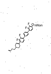 C=CCCC1CC=C(c2ccc(-c3ccc(-c4ccc(OCCCCCCCCC)c(F)c4F)cc3)c(F)c2F)CC1